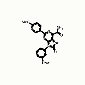 COc1cccc(-n2c(=O)[nH]c3c(C(N)=O)nc(-c4ccc(OC)nc4)nc32)c1